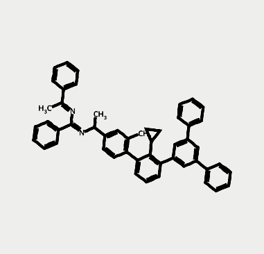 C/C(=N\C(=N/C(C)c1ccc(-c2cccc(-c3cc(-c4ccccc4)cc(-c4ccccc4)c3)c2C2CC2)c(C)c1)c1ccccc1)c1ccccc1